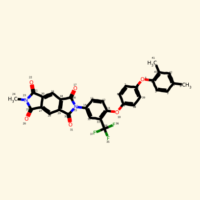 Cc1ccc(Oc2ccc(Oc3ccc(-n4c(=O)c5cc6c(=O)n(C)c(=O)c6cc5c4=O)cc3C(F)(F)F)cc2)c(C)c1